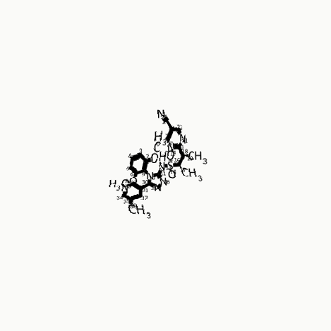 COc1cccc(OC)c1-n1c(NS(=O)(=O)[C@@H](C)[C@H](C)c2ncc(C#N)cn2)nnc1-c1cncc(C)c1